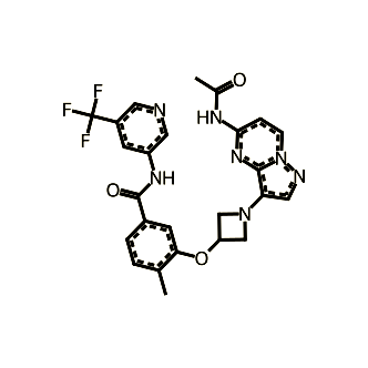 CC(=O)Nc1ccn2ncc(N3CC(Oc4cc(C(=O)Nc5cncc(C(F)(F)F)c5)ccc4C)C3)c2n1